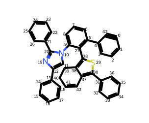 c1cccc(-c2cccc(-n3cc(-c4ccccc4)nc3-c3ccccc3)c2-c2sc(-c3ccccc3)c3c2CCC=C3)c#1